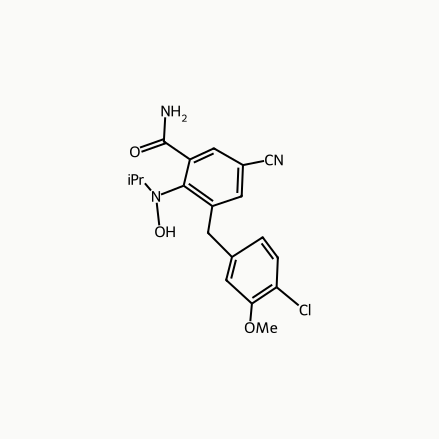 COc1cc(Cc2cc(C#N)cc(C(N)=O)c2N(O)C(C)C)ccc1Cl